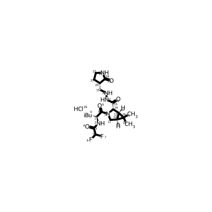 CC[C@@H](C)[C@H](NC(=O)C(F)F)C(=O)N1C[C@H]2[C@@H]([C@H]1C(=O)NNC[C@@H]1CCNC1=O)C2(C)C.Cl